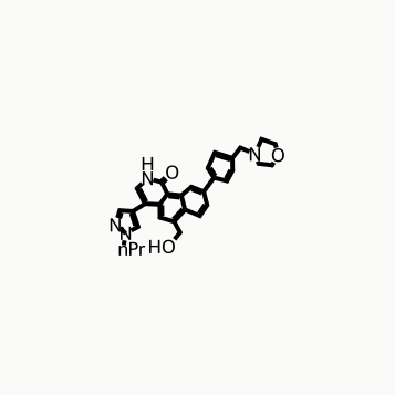 CCCn1cc(-c2c[nH]c(=O)c3c2cc(CO)c2ccc(-c4ccc(CN5CCOCC5)cc4)cc23)cn1